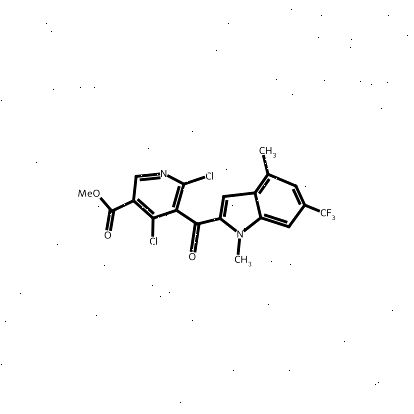 COC(=O)c1cnc(Cl)c(C(=O)c2cc3c(C)cc(C(F)(F)F)cc3n2C)c1Cl